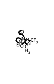 CCC1CCCCN1C(=O)c1c(C)nc(C(F)(F)F)nc1NCc1ccco1